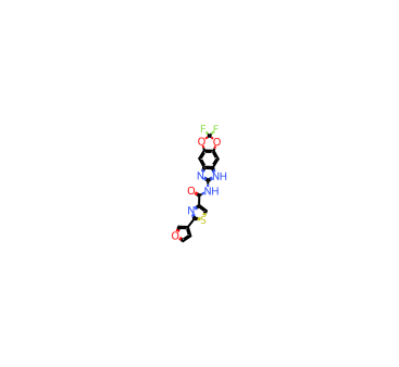 O=C(Nc1nc2cc3c(cc2[nH]1)OC(F)(F)O3)c1csc(-c2ccoc2)n1